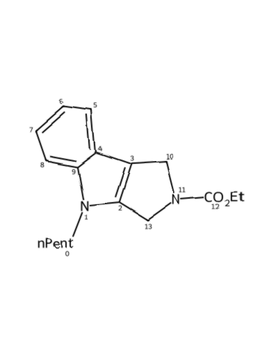 CCCCCn1c2c(c3ccccc31)CN(C(=O)OCC)C2